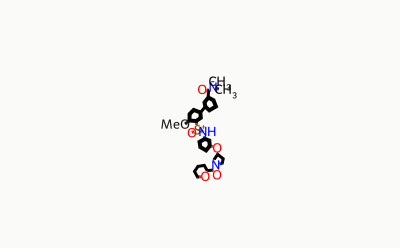 COc1ccc(-c2cccc(C(=O)N(C)C)c2)cc1[S+]([O-])Nc1cccc(O[C@H]2CCN(C(=O)C3CCCCO3)C2)c1